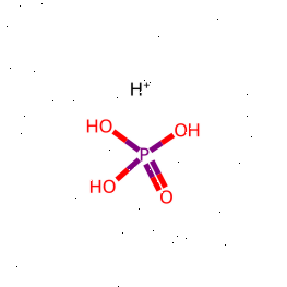 O=P(O)(O)O.[H+]